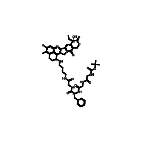 CC[C@@]1(O)C(=O)OCc2c1cc1n(c2=O)Cc2c-1nc1cc(F)c(C)c3c1c2[C@@H](NCCCCNC(=O)CNC(=O)[C@H](Cc1ccccc1)NC(=O)CNC(=O)CNC(=O)OC(C)(C)C)CC3